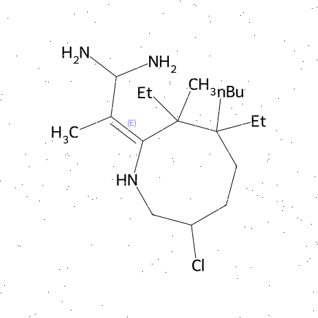 CCCCC1(CC)CCC(Cl)CN/C(=C(\C)C(N)N)C1(C)CC